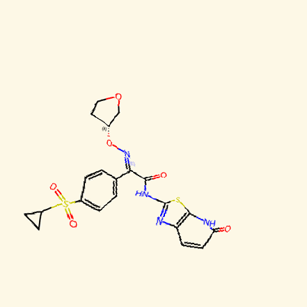 O=C(Nc1nc2ccc(=O)[nH]c2s1)/C(=N/O[C@@H]1CCOC1)c1ccc(S(=O)(=O)C2CC2)cc1